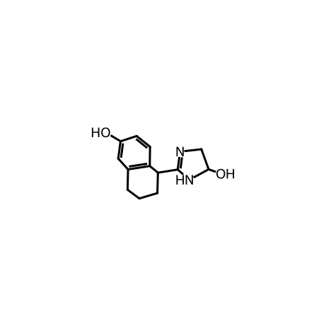 Oc1ccc2c(c1)CCCC2C1=NCC(O)N1